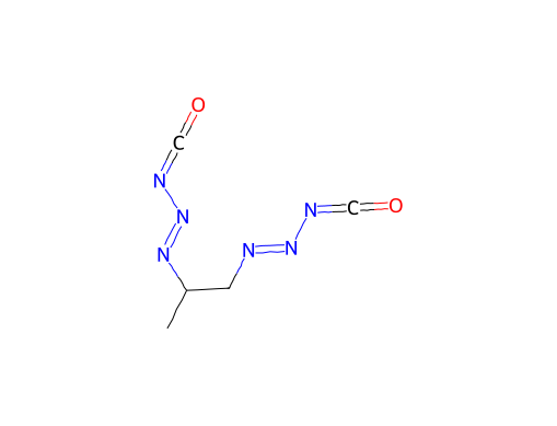 CC(CN=NN=C=O)N=NN=C=O